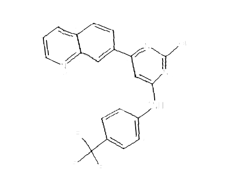 Oc1nc(Nc2ccc(C(F)(F)F)cc2)cc(-c2ccc3cccnc3c2)n1